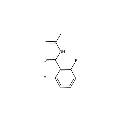 C=C(C)NC(=O)c1c(F)cccc1F